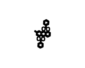 Cc1ccc2c(OC(=O)c3ccccc3)c3ccccc3c(OC(=O)c3ccccc3)c2c1